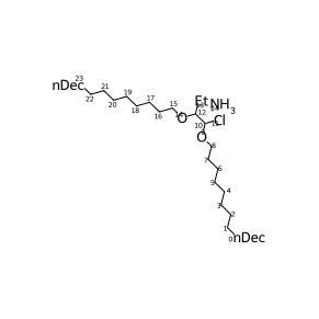 CCCCCCCCCCCCCCCCCCOC(Cl)C(CC)OCCCCCCCCCCCCCCCCCC.N